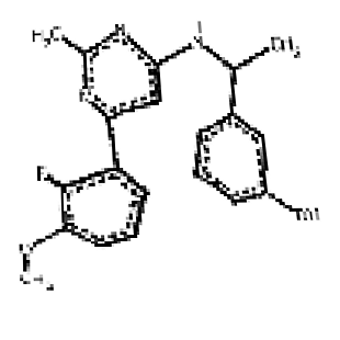 COc1cccc(-c2cc(NC(C)c3cccc(O)c3)nc(C)n2)c1F